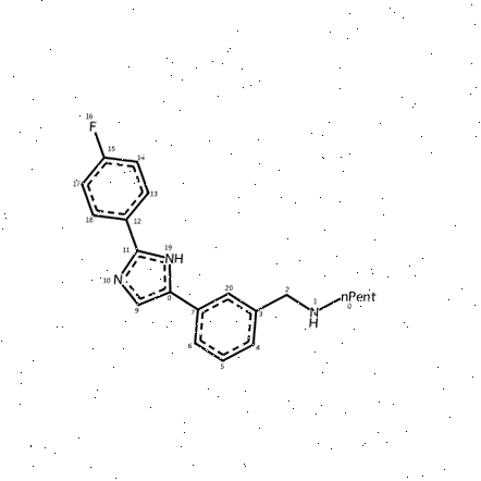 CCCCCNCc1cccc(-c2cnc(-c3ccc(F)cc3)[nH]2)c1